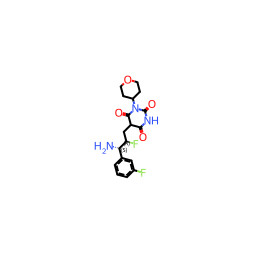 N[C@@H](c1cccc(F)c1)[C@H](F)CC1C(=O)NC(=O)N(C2CCOCC2)C1=O